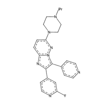 CC(C)N1CCN(c2ccc3nc(-c4ccnc(F)c4)c(-c4ccncc4)n3n2)CC1